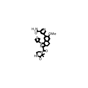 COc1cc2c(cc1-c1cncc(C(N)=O)c1)-c1c(c(C(=O)N3CCNC(=O)C3(C)C)nn1-c1ccsc1)CC2